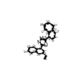 C=Cc1cc(-c2nnc(-c3cccc4ccccc34)o2)c2ccccc2c1